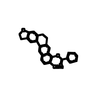 COc1ccc2cc3c(cc2c1OC(=O)c1ccccc1)CCc1cc2c(cc1-3)CCO2